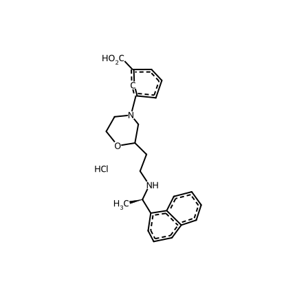 C[C@@H](NCCC1CN(c2cccc(C(=O)O)c2)CCO1)c1cccc2ccccc12.Cl